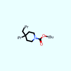 CC(C)CC1(C(C)C)CCN(C(=O)OC(C)(C)C)CC1